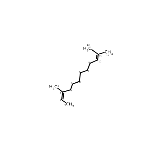 CC=C(C)CC[CH]CCCC=C(C)C